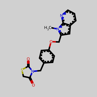 Cn1c(COc2ccc(CN3C(=O)CSC3=O)cc2)cc2cccnc21